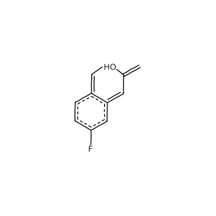 C=C(O)/C=c1/cc(F)cc/c1=C/C